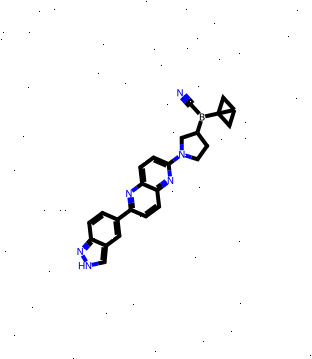 N#CB(C1CCN(c2ccc3nc(-c4ccc5n[nH]cc5c4)ccc3n2)C1)C12CC1C2